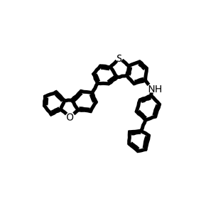 c1ccc(-c2ccc(Nc3ccc4sc5ccc(-c6ccc7oc8ccccc8c7c6)cc5c4c3)cc2)cc1